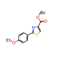 CCOc1ccc(-c2nc(C(=O)OC(C)CC)cs2)cc1